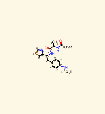 COC(=O)NC(C)C(=O)N[C@@H](Cc1ccc(NS(=O)(=O)O)cc1)c1cscn1